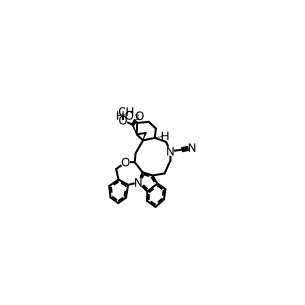 COC(=O)[C@@]12C[C@@]13CC1OCc4ccccc4-n4c1c(c1ccccc14)CCN(C#N)C[C@@H]3CC[C@@H]2O